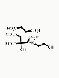 CCOC(=O)CC(O)(CC(=O)OCC)C(=O)OCC.O=C(O)CCC(=O)O.OCCO